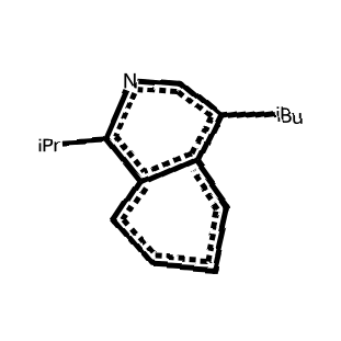 CCC(C)c1cnc(C(C)C)c2ccccc12